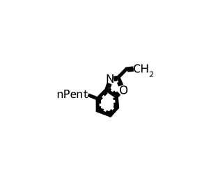 C=Cc1nc2c(CCCCC)cccc2o1